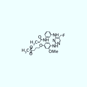 C=CC(=O)Nc1cccc(Nc2nc(Nc3ccc(OCCCS(C)(=O)=O)cc3OC)ncc2CF)c1